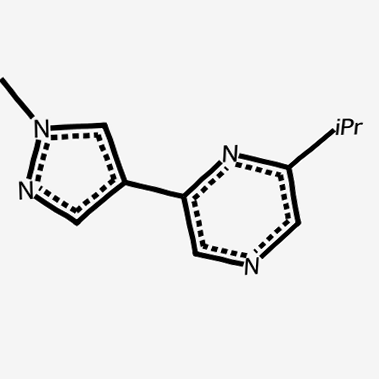 CC(C)c1cncc(-c2cnn(C)c2)n1